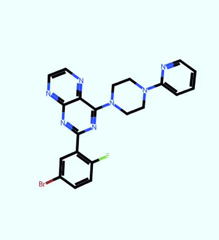 Fc1ccc(Br)cc1-c1nc(N2CCN(c3ccccn3)CC2)c2nccnc2n1